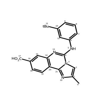 Cc1cn2c(Nc3cccc(C(C)(C)C)c3)nc3cc(C(=O)O)ccc3c2n1